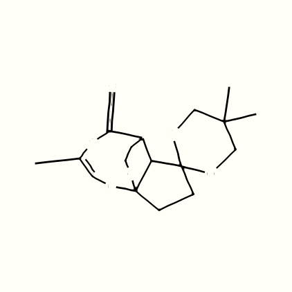 C/C1=C/CC23CCCC(C(=O)C1)C2C1(CC3)OCC(C)(C)CO1